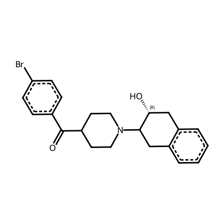 O=C(c1ccc(Br)cc1)C1CCN(C2Cc3ccccc3C[C@H]2O)CC1